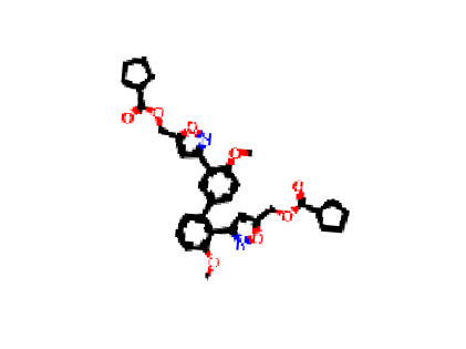 COc1ccc(-c2cccc(OC)c2-c2cc(COC(=O)C3CCCC3)on2)cc1-c1cc(COC(=O)C2CCCC2)on1